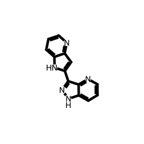 c1cnc2cc(-c3n[nH]c4cccnc34)[nH]c2c1